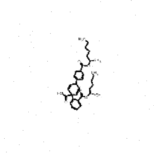 CCCCC[C@@H](C)OC(=O)c1ccc(C2C=CC(C(=O)O)(c3ccccc3C(=O)O[C@H](C)CCCCC)C=C2)cc1